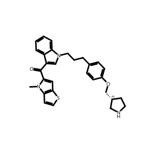 Cn1c(C(=O)c2cn(CCCc3ccc(OC[C@@H]4CCNC4)cc3)c3ccccc23)cc2sccc21